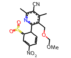 COCOCc1c(C2C=CC([N+](=O)[O-])=CC2=S(=O)=O)nc(C)c(C#N)c1C